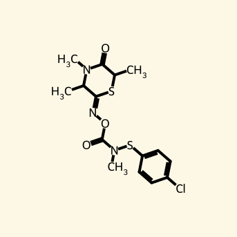 CC1SC(=NOC(=O)N(C)Sc2ccc(Cl)cc2)C(C)N(C)C1=O